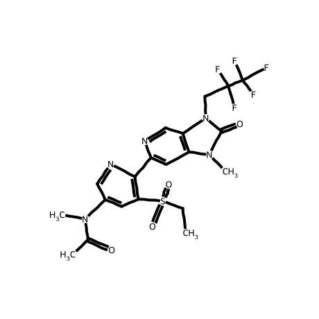 CCS(=O)(=O)c1cc(N(C)C(C)=O)cnc1-c1cc2c(cn1)n(CC(F)(F)C(F)(F)F)c(=O)n2C